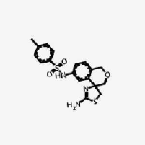 Cc1ccc(S(=O)(=O)Nc2ccc3c(c2)C2(COC3)CSC(N)=N2)cc1